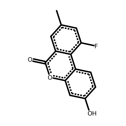 Cc1cc(F)c2c(c1)c(=O)oc1cc(O)ccc12